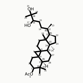 CC(=O)OC1CCC23CC24CCC2(C)[C@@H]([C@H](C)CCC(O)C(C)(C)O)CC[C@@]2(C)C4CC[C@H]3C1(C)C